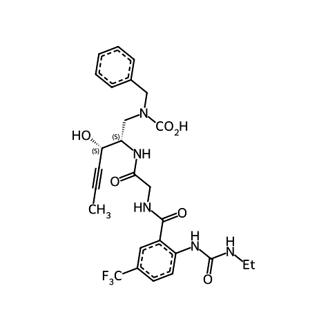 CC#C[C@H](O)[C@H](CN(Cc1ccccc1)C(=O)O)NC(=O)CNC(=O)c1cc(C(F)(F)F)ccc1NC(=O)NCC